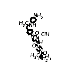 CC(Cc1ccc(-n2ccc(NC(=O)N3CCN(C(=O)C(C)(C)N)CC3)nc2=O)cc1)N[C@H]1CC[C@H](N)CC1.Cl